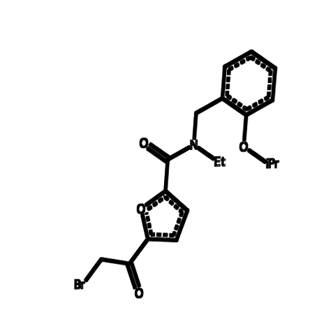 CCN(Cc1ccccc1OC(C)C)C(=O)c1ccc(C(=O)CBr)o1